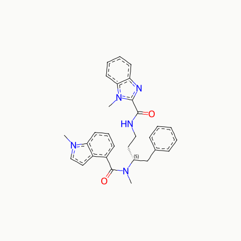 CN(C(=O)c1cccc2c1ccn2C)[C@H](CCNC(=O)c1nc2ccccc2n1C)Cc1ccccc1